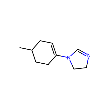 CC1CC=C(N2C=NCC2)CC1